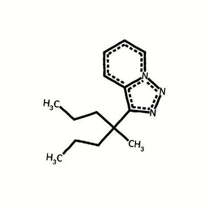 CCCC(C)(CCC)c1nnn2ccccc12